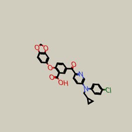 O=C(c1ccc(Oc2ccc3c(c2)OCO3)c(C(=O)O)c1)c1ccc(N(CC2CC2)c2ccc(Cl)cc2)cn1